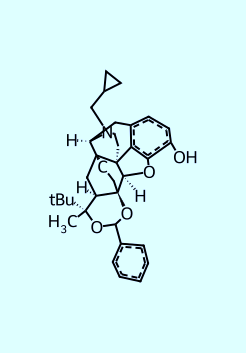 CC(C)(C)[C@@]1(C)OC(c2ccccc2)O[C@]23CC[C@@]4(C[C@@H]21)[C@H]1Cc2ccc(O)c5c2[C@@]4(CCN1CC1CC1)[C@H]3O5